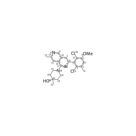 COc1cc(C)c(Cl)c(-c2cc3cnc(C)cc3c(N3CCC(C)(O)CC3)n2)c1Cl